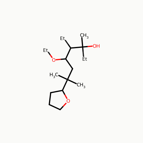 CCOC(CC(C)(C)C1CCCO1)C(CC)C(C)(O)CC